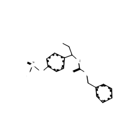 CCOC(=O)CC(NC(=O)OCc1ccccc1)c1ccc(OS(C)(=O)=O)cc1